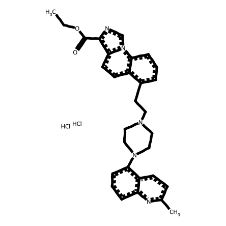 CCOC(=O)c1ncn2c1ccc1c(CCN3CCN(c4cccc5nc(C)ccc45)CC3)cccc12.Cl.Cl